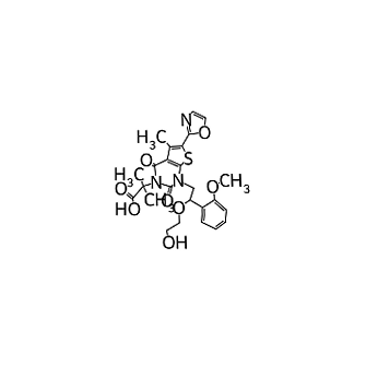 COc1ccccc1C(Cn1c(=O)n(C(C)(C)C(=O)O)c(=O)c2c(C)c(-c3ncco3)sc21)OCCO